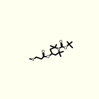 CSCCC(=O)OC1CC(C)(C)N(C(=O)OC(C)(C)C)C(C)(C)C1